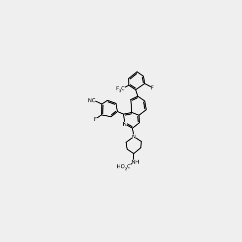 N#Cc1ccc(-c2nc(N3CCC(NC(=O)O)CC3)cc3ccc(-c4c(F)cccc4C(F)(F)F)cc23)cc1F